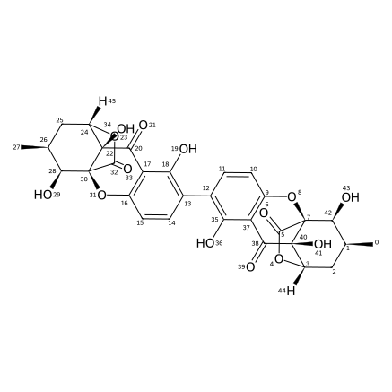 C[C@H]1C[C@@H]2OC(=O)[C@]3(Oc4ccc(-c5ccc6c(c5O)C(=O)[C@@]5(O)[C@@H]7C[C@H](C)[C@H](O)[C@@]5(O6)C(=O)O7)c(O)c4C(=O)[C@@]23O)[C@H]1O